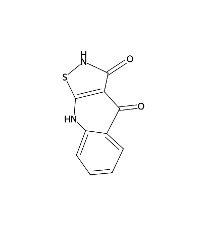 O=c1[nH]sc2[nH]c3ccccc3c(=O)c12